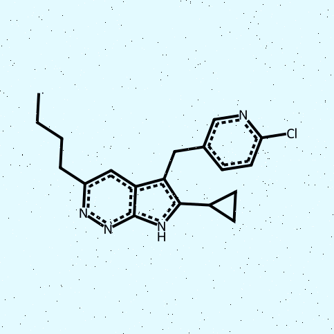 [CH2]CCCc1cc2c(Cc3ccc(Cl)nc3)c(C3CC3)[nH]c2nn1